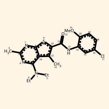 CCN(CC)c1nc(C)nc2sc(C(=O)Nc3cc(Cl)ccc3OC)c(C)c12